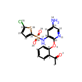 CC(=O)c1ccccc1Oc1ncc(N)cc1NS(=O)(=O)c1ccc(Cl)s1